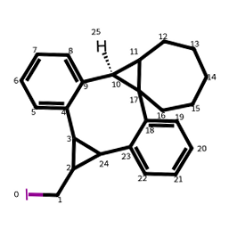 ICC1C2c3ccccc3[C@H]3C4CCCCCC43c3ccccc3C12